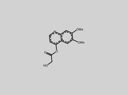 COc1cc2nccc(OC(=O)CO)c2cc1OC